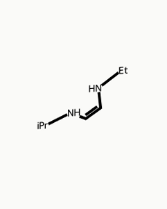 CCN/C=C\NC(C)C